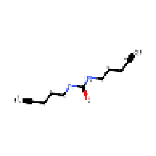 C#CCCCNC(=O)NCCCC#C